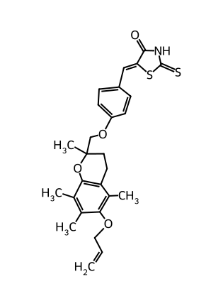 C=CCOc1c(C)c(C)c2c(c1C)CCC(C)(COc1ccc(/C=C3\SC(=S)NC3=O)cc1)O2